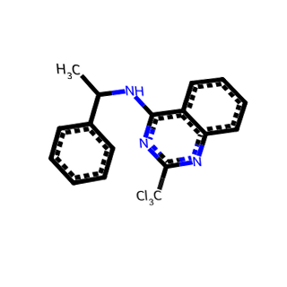 CC(Nc1nc(C(Cl)(Cl)Cl)nc2ccccc12)c1ccccc1